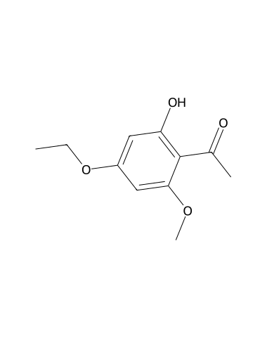 CCOc1cc(O)c(C(C)=O)c(OC)c1